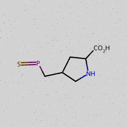 O=C(O)C1CC(CP=S)CN1